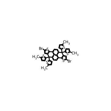 Cc1ccc(C2(c3ccc(C)s3)c3cc(Br)sc3-c3ccc4c5c(ccc2c35)-c2sc(Br)cc2C4(c2ccc(C)s2)c2ccc(C)s2)s1